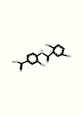 COC(=O)c1ccc(NC(=O)c2cc(C(C)(C)C)ccc2O)c(C)c1